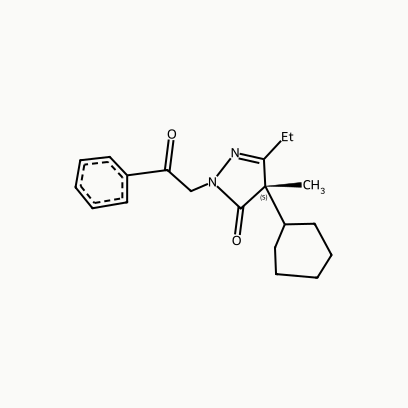 CCC1=NN(CC(=O)c2ccccc2)C(=O)[C@@]1(C)C1CCCCC1